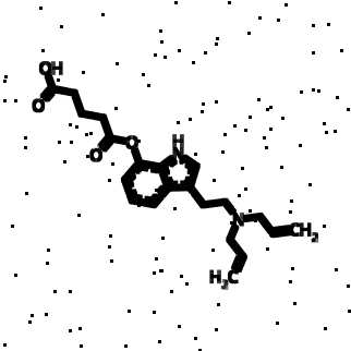 C=CCN(CC=C)CCc1c[nH]c2c(OC(=O)CCCC(=O)O)cccc12